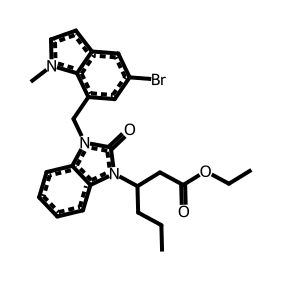 CCCC(CC(=O)OCC)n1c(=O)n(Cc2cc(Br)cc3ccn(C)c23)c2ccccc21